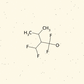 CC(C)C(C(F)F)C([O])(F)F